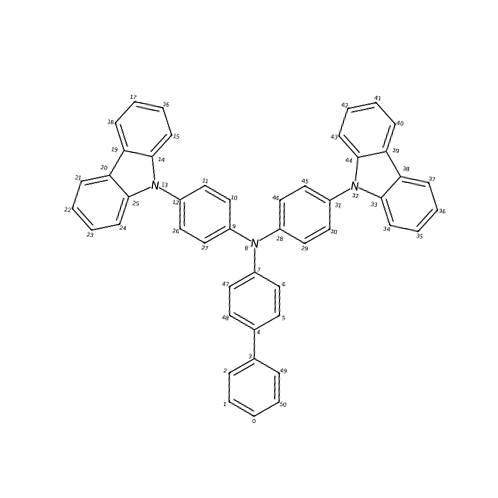 c1ccc(-c2ccc(N(c3ccc(-n4c5ccccc5c5ccccc54)cc3)c3ccc(-n4c5ccccc5c5ccccc54)cc3)cc2)cc1